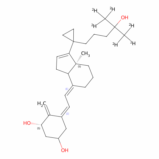 [2H]C([2H])([2H])C(O)(CCCC1(C2=CCC3/C(=C/C=C4/CC(O)C[C@H](O)C4=C)CCC[C@]23C)CC1)C([2H])([2H])[2H]